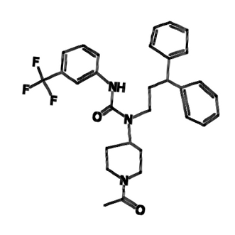 CC(=O)N1CCC(N(CCC(c2ccccc2)c2ccccc2)C(=O)Nc2cccc(C(F)(F)F)c2)CC1